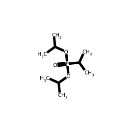 CC(C)OP(=O)(OC(C)C)C(C)C